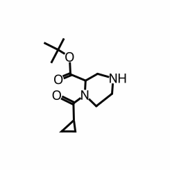 CC(C)(C)OC(=O)C1CNCCN1C(=O)C1CC1